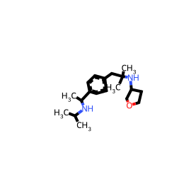 CC(C)NC(C)c1ccc(CC(C)(C)NC2CCOC2)cc1